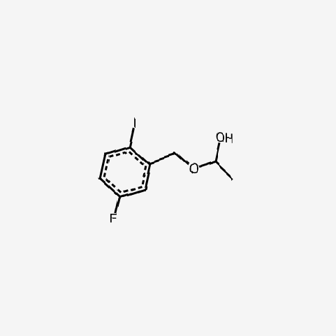 CC(O)OCc1cc(F)ccc1I